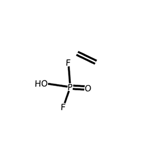 C=C.O=P(O)(F)F